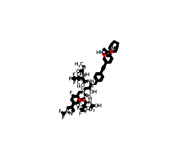 COC(=O)N[C@H](C(=O)N[C@@H](Cc1ccc(C#Cc2ccc(N3CC4CCC(C3)N4CC3CNC3)nc2)cc1)[C@@H](O)CN(Cc1c(F)cc(-c2cnn(C(F)F)c2)cc1F)NC(=O)[C@@H](NC(=O)O)C(C)(C)C(F)(F)F)C(C)(C)C(F)(F)F